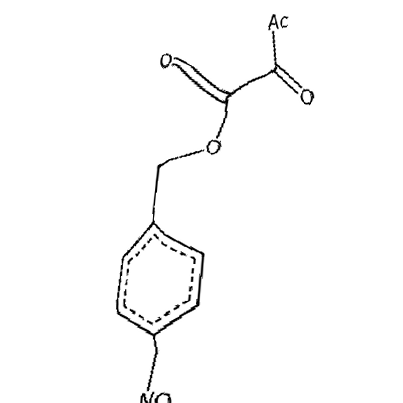 CC(=O)C(=O)C(=O)OCc1ccc([N+](=O)[O-])cc1